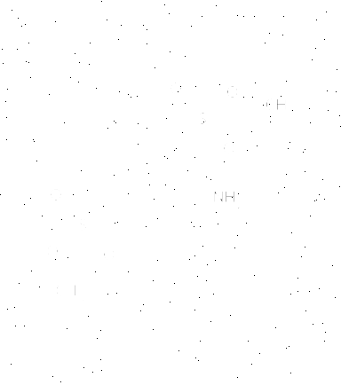 COS(=O)(=O)c1ccc(S(=O)(=O)OC)c(N)c1